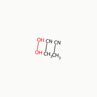 CC#N.CC#N.OO